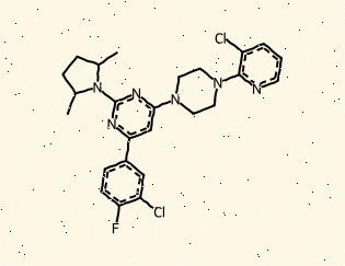 CC1CCC(C)N1c1nc(-c2ccc(F)c(Cl)c2)cc(N2CCN(c3ncccc3Cl)CC2)n1